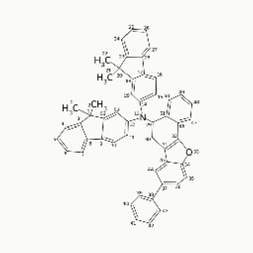 CC1(C)c2ccccc2-c2ccc(N(c3ccc4c(c3)C(C)(C)c3ccccc3-4)C3Cc4c(oc5ccc(-c6ccccc6)cc45)-c4ccccc43)cc21